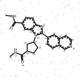 CNC(=O)c1ccc2nc(-c3ccc4cnccc4c3)n(C3CCC(C(=O)NC)C3)c2c1